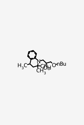 CCCCOCC(O)CN1c2ccccc2C(C)CC1(C)C